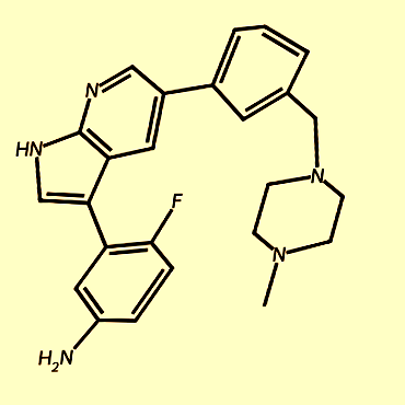 CN1CCN(Cc2cccc(-c3cnc4[nH]cc(-c5cc(N)ccc5F)c4c3)c2)CC1